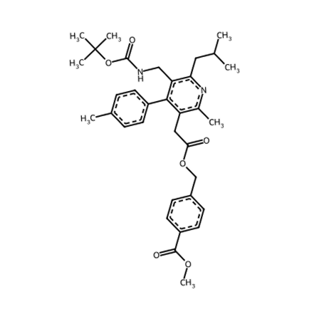 COC(=O)c1ccc(COC(=O)Cc2c(C)nc(CC(C)C)c(CNC(=O)OC(C)(C)C)c2-c2ccc(C)cc2)cc1